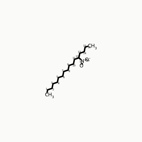 CCCCCCCCCCCCC(CCCC)[N+](=O)[O-]